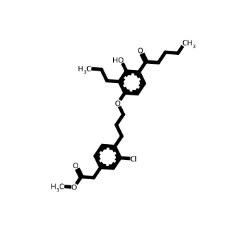 CCCCC(=O)c1ccc(OCCCc2ccc(CC(=O)OC)cc2Cl)c(CCC)c1O